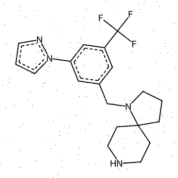 FC(F)(F)c1cc(CN2CCCC23CCNCC3)cc(-n2cccn2)c1